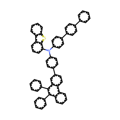 c1ccc(-c2ccc(-c3ccc(N(c4ccc(-c5ccc6c(c5)c(-c5ccccc5)c(-c5ccccc5)c5ccccc56)cc4)c4cccc5c4sc4ccccc45)cc3)cc2)cc1